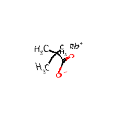 CC(C)(C)C(=O)[O-].[Rb+]